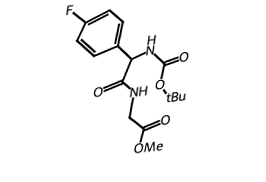 COC(=O)CNC(=O)C(NC(=O)OC(C)(C)C)c1ccc(F)cc1